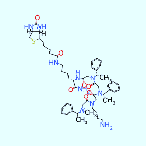 C[C@@H](c1ccccc1)N(C)CC(=O)N(CCCCN)CC(=O)N(CC(=O)N(CC(=O)N[C@@H](CCCCNC(=O)CCCCC1SC[C@@H]2NC(=O)N[C@H]12)C(N)=O)[C@@H](C)c1ccccc1)[C@@H](C)c1ccccc1